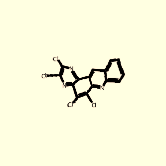 Clc1nc2c(Cl)c(Cl)c3nc4ccccc4cc3c2nc1Cl